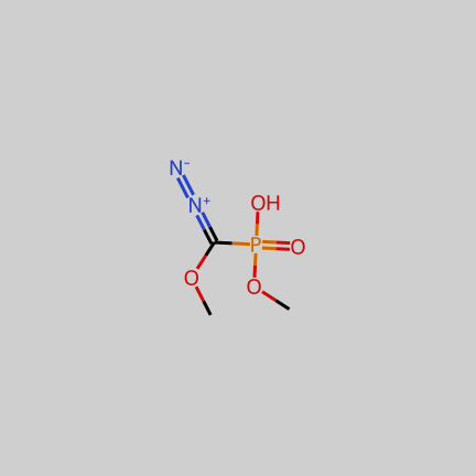 COC(=[N+]=[N-])P(=O)(O)OC